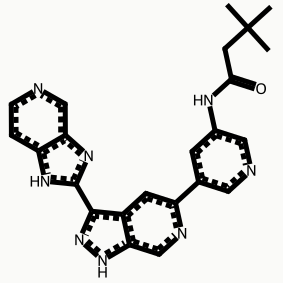 CC(C)(C)CC(=O)Nc1cncc(-c2cc3c(-c4nc5cnccc5[nH]4)n[nH]c3cn2)c1